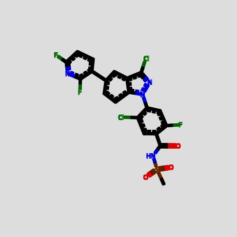 CS(=O)(=O)NC(=O)c1cc(Cl)c(-n2nc(Cl)c3cc(-c4ccc(F)nc4F)ccc32)cc1F